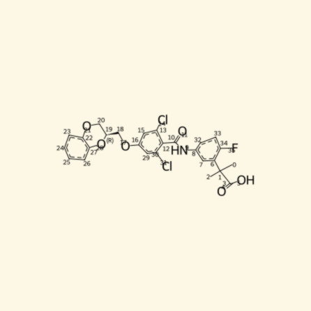 CC(C)(C(=O)O)c1cc(NC(=O)c2c(Cl)cc(OC[C@@H]3COc4ccccc4O3)cc2Cl)ccc1F